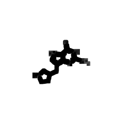 Nc1nc2c(CC3CCNC3)c[nH]c2c(=O)[nH]1